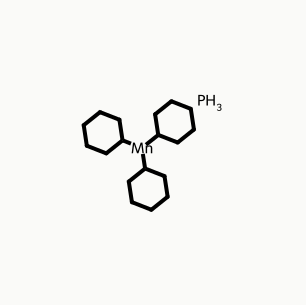 C1CC[CH]([Mn]([CH]2CCCCC2)[CH]2CCCCC2)CC1.P